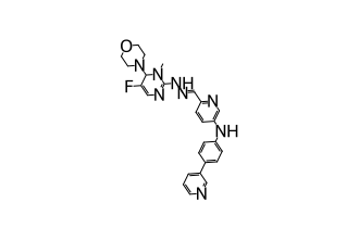 CN1C(N/N=C/c2ccc(Nc3ccc(-c4cccnc4)cc3)cn2)=NC=C(F)C1N1CCOCC1